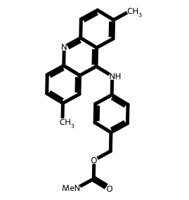 CNC(=O)OCc1ccc(Nc2c3cc(C)ccc3nc3ccc(C)cc23)cc1